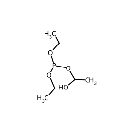 CCOP(OCC)OC(C)O